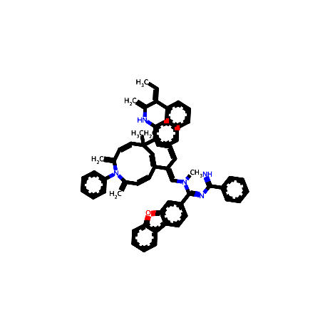 C=C\C=C/C(=C\N(C)/C(=N\C(=N)c1ccccc1)c1ccc2c(c1)oc1ccccc12)C1=C/C(C)(c2ccccc2NC(=C)/C(=C\C)c2ccccc2)/C=C\C(=C)N(c2ccccc2)C(=C)/C=C\1